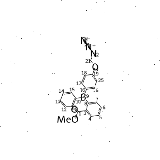 COC(=O)c1ccccc1B(c1ccccc1)c1ccc(OCN=[N+]=[N-])cc1